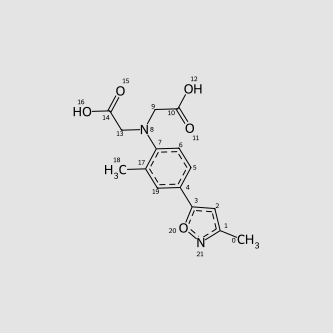 Cc1cc(-c2ccc(N(CC(=O)O)CC(=O)O)c(C)c2)on1